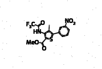 COC(=O)c1sc(-c2cccc([N+](=O)[O-])c2)c(C)c1NC(=O)C(F)(F)F